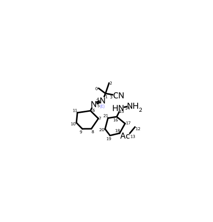 CC(C)(C#N)/N=N/C1CCCCC1.CC(C)=O.NNC1CCCCC1